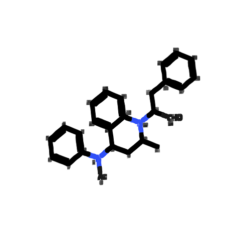 CC(=O)N(c1ccccc1)C1CC(C)N(C(C=O)Cc2ccccc2)c2ccccc21